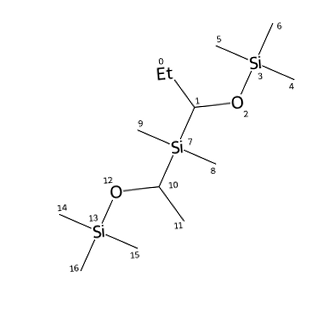 CCC(O[Si](C)(C)C)[Si](C)(C)C(C)O[Si](C)(C)C